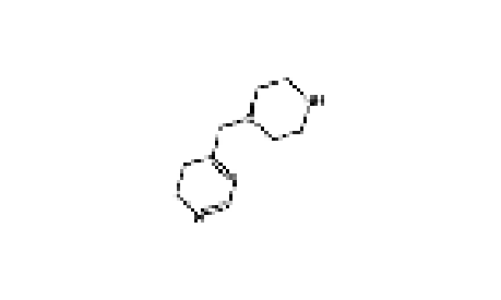 C1=NCCC(CN2CCNCC2)=C1